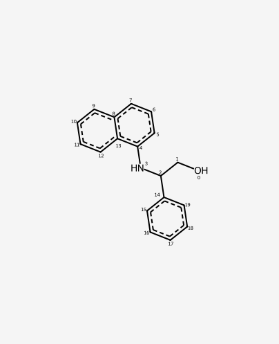 OCC(Nc1cccc2ccccc12)c1ccccc1